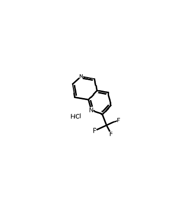 Cl.FC(F)(F)c1ccc2cnccc2n1